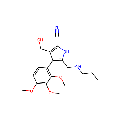 CCCNCc1[nH]c(C#N)c(CO)c1-c1ccc(OC)c(OC)c1OC